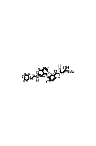 CC(C)(C)/C(O)=C/C(=N)NC(=O)c1ccc(Cl)c(Nc2ncnc3cnc(NCCN4CCOCC4)nc23)c1